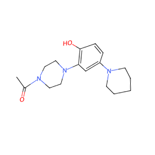 CC(=O)N1CCN(c2cc(N3CCCCC3)ccc2O)CC1